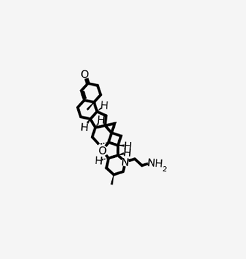 C[C@H]1C[C@H]2O[C@@]34CC[C@H]5[C@@H]6CCC7=CC(=O)CC[C@]7(C)[C@H]6CC56CC63C[C@@H]4[C@@H]2N(CCN)C1